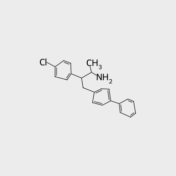 CC(N)C(Cc1ccc(-c2ccccc2)cc1)c1ccc(Cl)cc1